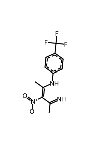 CC(=N)/C(=C(/C)Nc1ccc(C(F)(F)F)cc1)[N+](=O)[O-]